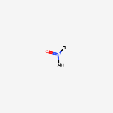 O=[N+]([AlH])[Ti-]